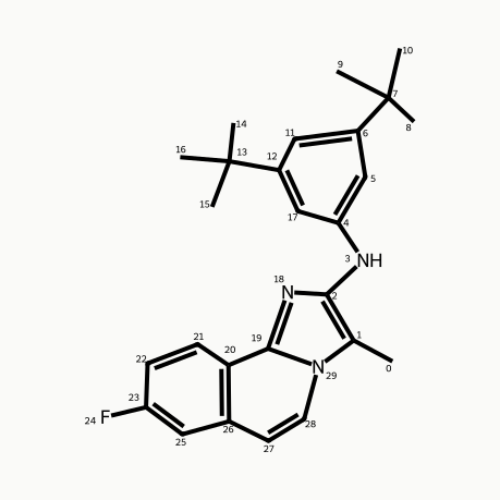 Cc1c(Nc2cc(C(C)(C)C)cc(C(C)(C)C)c2)nc2c3ccc(F)cc3ccn12